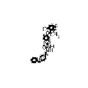 CC(Oc1ccc2nc(NC(=O)NCCN3CCN(Cc4ccccc4)CC3)sc2c1)c1c(Cl)ccc(F)c1Cl